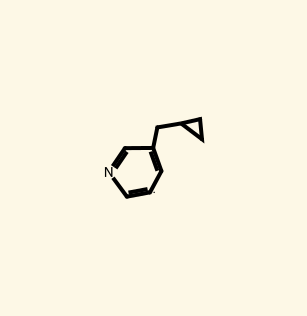 [c]1cncc(CC2CC2)c1